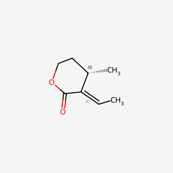 C/C=C1/C(=O)OCC[C@@H]1C